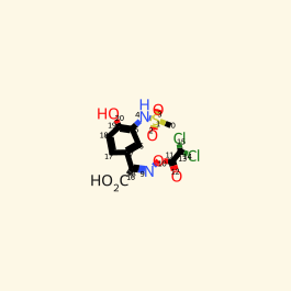 CS(=O)(=O)Nc1cc(/C(=N\OC(=O)C(Cl)Cl)C(=O)O)ccc1O